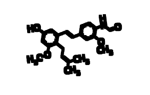 COc1cc(/C=C/c2cc(O)cc(OC)c2CC=C(C)C)ccc1NC=O